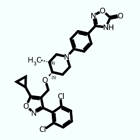 C[C@@H]1CN(c2ccc(-c3noc(=O)[nH]3)cc2)CC[C@@H]1OCc1c(-c2c(Cl)cccc2Cl)noc1C1CC1